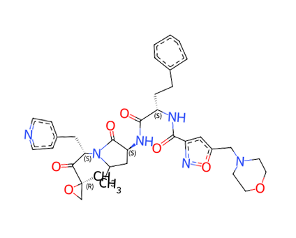 CC1C[C@H](NC(=O)[C@H](CCc2ccccc2)NC(=O)c2cc(CN3CCOCC3)on2)C(=O)N1[C@@H](Cc1ccncc1)C(=O)[C@@]1(C)CO1